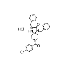 Cl.O=C(c1ccc(Cl)cc1)N1CCC2(CC1)N[C@@H](Cc1ccccc1)C(=O)N2Cc1ccccc1